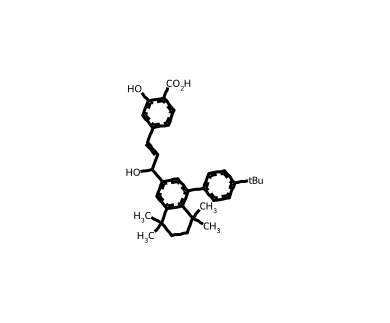 CC(C)(C)c1ccc(-c2cc(C(O)C=Cc3ccc(C(=O)O)c(O)c3)cc3c2C(C)(C)CCC3(C)C)cc1